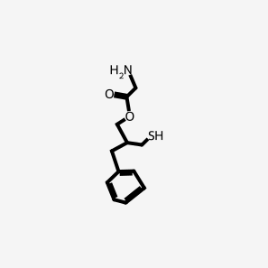 NCC(=O)OCC(CS)Cc1ccccc1